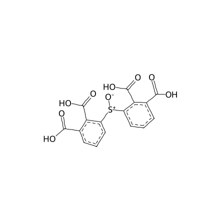 O=C(O)c1cccc([S+]([O-])c2cccc(C(=O)O)c2C(=O)O)c1C(=O)O